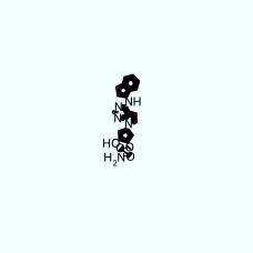 NS(=O)(=O)O[C@@H]1CC(n2ccc3c(N[C@H]4CCc5ccccc54)ncnc32)C[C@@H]1O